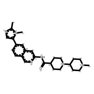 Cc1ncc(-c2ccc3cnc(NC(=O)C4CCN(C5CCN(C)CC5)CC4)cc3c2)n1C